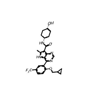 Cc1[nH]c2c(-c3cc(C(F)(F)F)ccc3OCC3CC3)ncnc2c1C(=O)N[C@H]1CC[C@@H](O)CC1